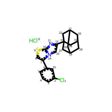 Cl.Clc1cccc(-c2csc3nc(C45CC6CC(CC(C6)C4)C5)cn23)c1